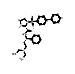 CCN(CC)CC[C@H](NC(=O)[C@@H]1SCCN1S(=O)(=O)c1ccc(-c2ccccc2)cc1)c1ccccc1